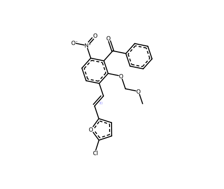 COCOc1c(/C=C/c2ccc(Cl)o2)ccc([N+](=O)[O-])c1C(=O)c1ccccc1